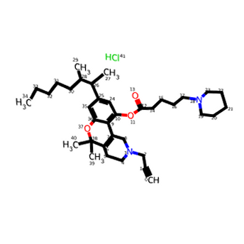 C#CCN1CCC2=C(C1)c1c(OC(=O)CCCCN3CCCCC3)cc(C(C)C(C)CCCCC)cc1OC2(C)C.Cl